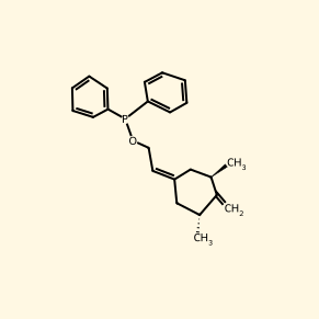 C=C1[C@H](C)CC(=CCOP(c2ccccc2)c2ccccc2)C[C@H]1C